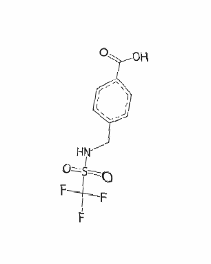 O=C(O)c1ccc(CNS(=O)(=O)C(F)(F)F)cc1